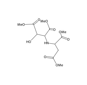 COC(=O)CC(NC(C(=O)OC)C(O)C(=O)OC)C(=O)OC